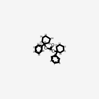 O=C(OC1(c2ccccc2)CCCCC1)OC1(c2ccccc2)CCCCC1